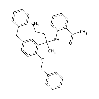 CCCC(C)(Pc1ccccc1C(C)=O)c1cc(Cc2ccccc2)ccc1OCc1ccccc1